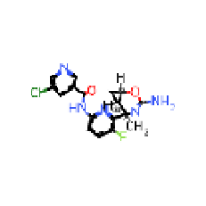 C[C@@]1(c2nc(NC(=O)c3cncc(Cl)c3)ccc2F)N=C(N)O[C@H]2C[C@H]21